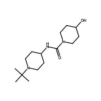 CC(C)(C)N1CCC(NC(=O)N2CCC(O)CC2)CC1